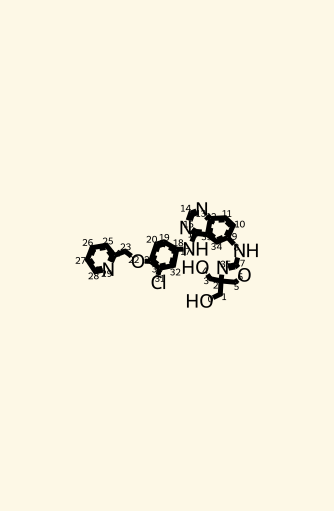 OCC1(CO)COC(Nc2ccc3ncnc(Nc4ccc(OCc5ccccn5)c(Cl)c4)c3c2)=N1